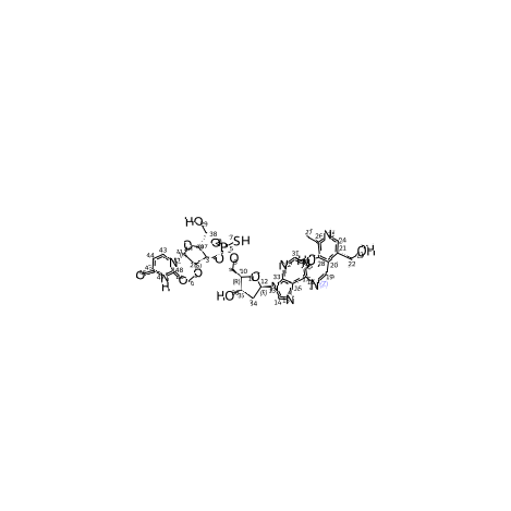 CO[C@H]1C(OP(=O)(S)OC[C@H]2O[C@@H](n3cnc4c(/N=C\c5c(CO)cnc(C)c5O)ncnc43)CC2O)[C@@H](CO)O[C@H]1n1ccc(=O)[nH]c1=O